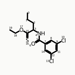 CCCC(NC(=O)c1cc(Cl)cc(Cl)c1)C(=S)OCC